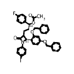 CC(=O)O[C@@H](CCC1C(=O)N(c2ccc(I)cc2)[C@@H]1c1ccc(OCc2ccccc2)cc1OCc1ccccc1)c1ccc(F)cc1